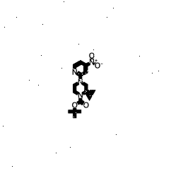 CC(C)(C)OC(=O)N1CCN(c2cc([N+](=O)[O-])ccn2)CC12CC2